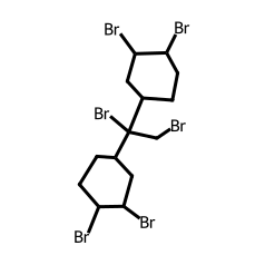 BrCC(Br)(C1CCC(Br)C(Br)C1)C1CCC(Br)C(Br)C1